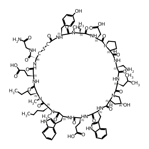 CCCC[C@H]1C(=O)N(C)[C@@H](CCCC)C(=O)N[C@@H](CCC(=O)O)C(=O)N[C@H](C(=O)NCC(N)=O)CSCC(=O)N[C@@H](Cc2ccc(O)cc2)C(=O)N(C)[C@@H](C)C(=O)N[C@@H](CC(=O)O)C(=O)N2CCC[C@H]2C(=O)N[C@@H](CN)C(=O)N[C@@H](CC(C)C)C(=O)N2C[C@H](O)C[C@H]2C(=O)N[C@@H](Cc2c[nH]c3ccccc23)C(=O)N[C@@H](CCC(=O)O)C(=O)N[C@@H](Cc2c[nH]c3ccccc23)C(=O)N1C